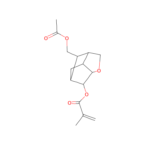 C=C(C)C(=O)OC1C2CC3C(COC31)C2COC(C)=O